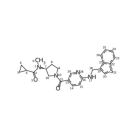 CN(C(=O)C1CC1)[C@H]1CCN(C(=O)c2ccc(NCc3csc4ccccc34)nc2)C1